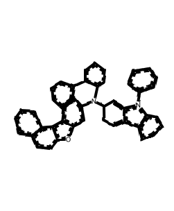 C1=c2c(n(-c3ccccc3)c3ccccc23)=CC(N(c2ccc3c(c2)oc2ccc4ccccc4c23)c2ccccc2-c2ccccc2)C1